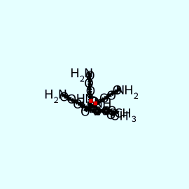 CCP(=O)(O)Oc1ccc(-c2ccc(CC(C(=O)NCCOCCOCCON)N(CC(=O)NCCOCCOCCON)CC(=O)NCCOCCOCCON)cc2)cc1